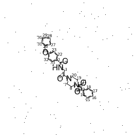 O=C(NCC(=O)N1CCN(S(=O)(=O)c2ccccc2)CC1)c1ccc(Oc2ccccc2)cc1